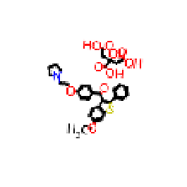 COc1ccc2c(C(=O)c3ccc(OCCN4CCCC4)cc3)c(-c3ccccc3)sc2c1.O=C(O)CC(O)(CC(=O)O)C(=O)O